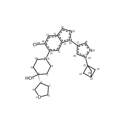 OC1([C@@H]2CCOC2)CCN(c2cc3c(cnn3-c3cnn(C45CC(C4)C5)c3)cc2Cl)CC1